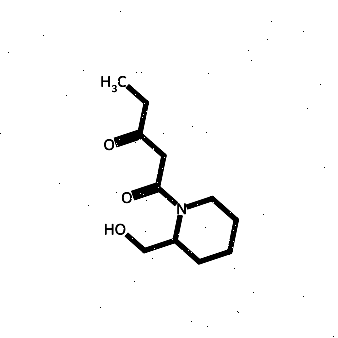 CCC(=O)CC(=O)N1CCCCC1CO